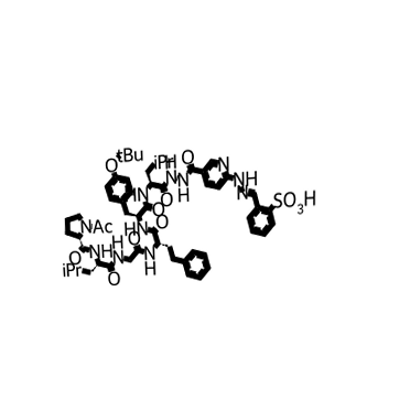 CC(=O)N1CCC[C@H]1C(=O)N[C@@H](CC(C)C)C(=O)NCC(=O)N[C@@H](CCc1ccccc1)C(=O)N[C@@H](Cc1ccc(OC(C)(C)C)cc1)C(=O)N[C@@H](CC(C)C)C(=O)NNC(=O)c1ccc(NN=Cc2ccccc2S(=O)(=O)O)nc1